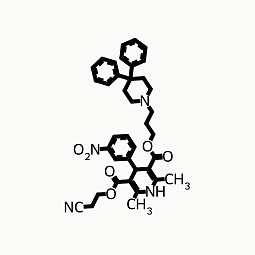 CC1=C(C(=O)OCCC#N)C(c2cccc([N+](=O)[O-])c2)C(C(=O)OCCCN2CCC(c3ccccc3)(c3ccccc3)CC2)=C(C)N1